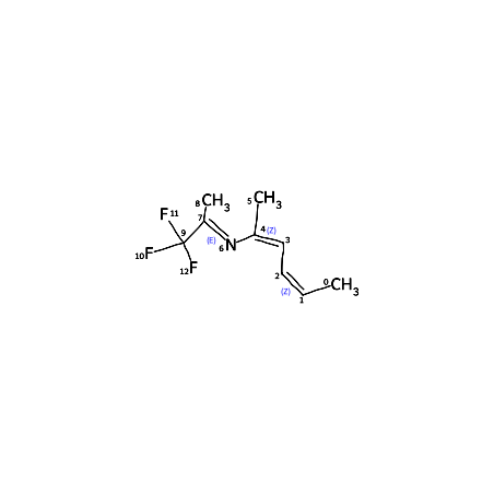 C\C=C/C=C(C)\N=C(/C)C(F)(F)F